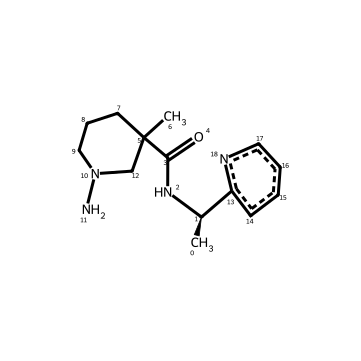 C[C@@H](NC(=O)C1(C)CCCN(N)C1)c1ccccn1